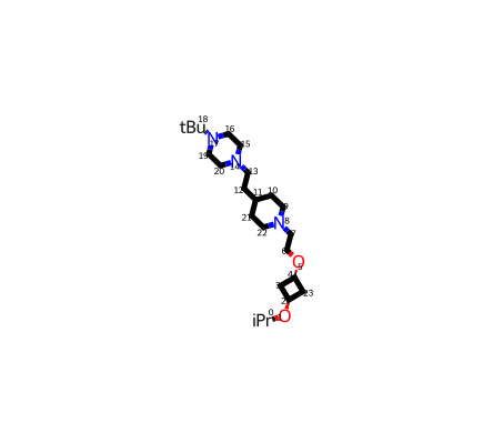 CC(C)O[C@H]1C[C@H](OCCN2CCC(CCN3CCN(C(C)(C)C)CC3)CC2)C1